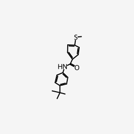 CSc1ccc(C(=O)Nc2ccc(C(C)(C)C)cc2)cc1